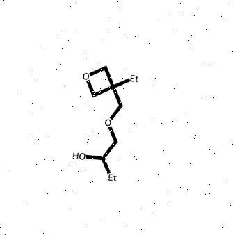 CCC(O)COCC1(CC)COC1